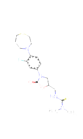 CN(C)C(=S)NCC1CN(c2ccc(N3CCCSCC3)c(F)c2)C(=O)O1